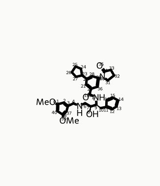 COc1cc(CNC[C@H](O)[C@H](Cc2ccccc2)NC(=O)c2cc(C3CCCC3)cc(N3CCCC3=O)c2)cc(OC)c1